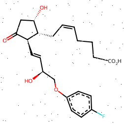 O=C(O)CCC/C=C\C[C@H]1[C@@H](O)CC(=O)[C@@H]1/C=C/[C@H](O)COc1ccc(F)cc1